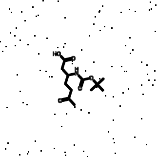 CC(=O)CCC(CC(=O)O)NC(=O)OC(C)(C)C